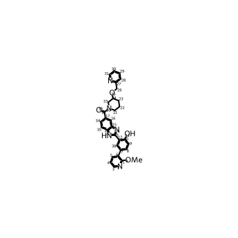 COc1ncccc1-c1ccc(O)c(-c2nc3cc(C(=O)N4CCCC(OCc5ccccn5)C4)ccc3[nH]2)c1